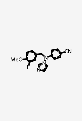 COc1ccc(CN(c2ccc(C#N)cc2)n2ccnc2)cc1F